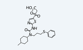 CC1CCC(N(CCCSc2ccccc2)C(=O)Nc2ncc(S(=O)(=O)CC(=O)O)s2)CC1